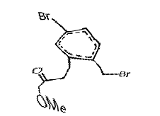 COC(=O)Cc1cc(Br)ccc1CBr